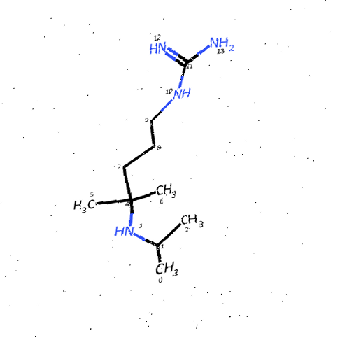 CC(C)NC(C)(C)CCCNC(=N)N